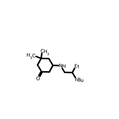 CCCCC(CC)CNC1CC(=O)CC(C)(C)C1